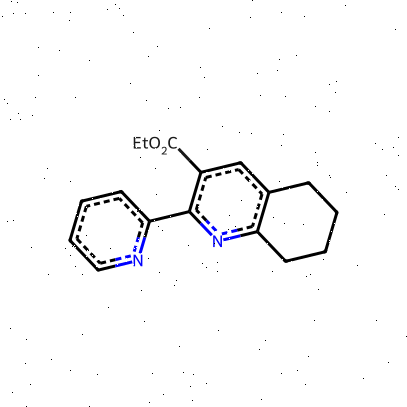 CCOC(=O)c1cc2c(nc1-c1ccccn1)CCCC2